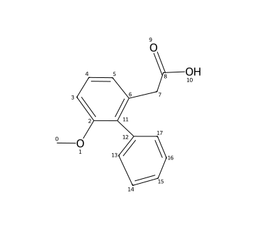 COc1cccc(CC(=O)O)c1-c1ccccc1